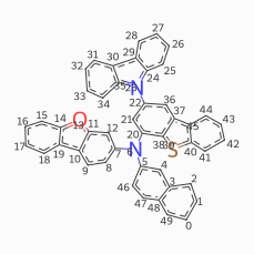 c1ccc2cc(N(c3ccc4c(c3)oc3ccccc34)c3cc(-n4c5ccccc5c5ccccc54)cc4c3sc3ccccc34)ccc2c1